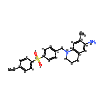 COc1ccc(S(=O)(=O)c2ccc(CN3CCCc4cc(N)c([N+](=O)[O-])cc43)cc2)cc1